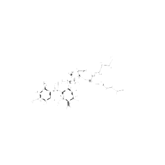 CCCCOC[C@H](CC1(S(=O)(=O)Nc2cc(C)c(=O)n(C)c2Nc2ccc(I)cc2F)CC1)OCCCC